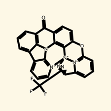 O=c1c2ccc3c4c2n2c5c1cccc5c1ccc[n+](c12)[N+]41n2nc(C(F)(F)F)cc2-c2cccc([n+]21)O3